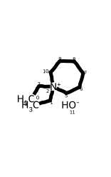 CC[N+]1(CC)CCCCCC1.[OH-]